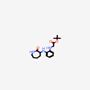 CC(C)(C)OC(=O)CNc1ccccc1NC1CCCCNC1=O